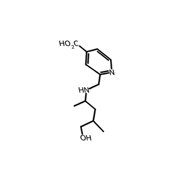 CC(CO)CC(C)NCc1cc(C(=O)O)ccn1